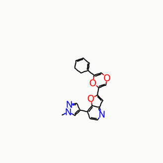 Cn1cc(-c2ccnc3cc(C4=COC=C(C5=CC=CCC5)O4)oc23)cn1